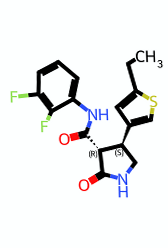 CCc1cc([C@H]2CNC(=O)[C@@H]2C(=O)Nc2cccc(F)c2F)cs1